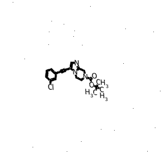 CC(C)(C)OC(=O)N1CCn2c(C#Cc3cccc(Cl)c3)cnc2C1